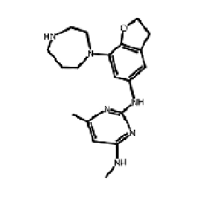 CNc1cc(C)nc(Nc2cc3c(c(N4CCCNCC4)c2)OCC3)n1